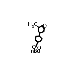 CCCCOC(=O)C1CCC(C2CC(C)C3OC3C2)CC1